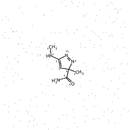 CNC1=CC(C)(C(N)=O)N=N1